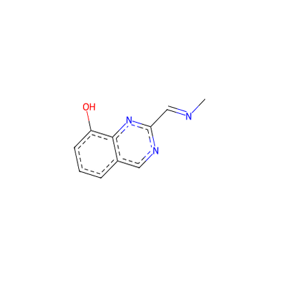 C/N=C/c1ncc2cccc(O)c2n1